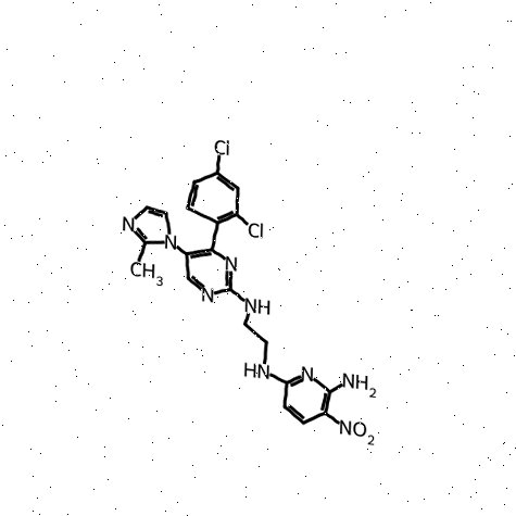 Cc1nccn1-c1cnc(NCCNc2ccc([N+](=O)[O-])c(N)n2)nc1-c1ccc(Cl)cc1Cl